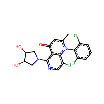 Cc1cc(=O)c2c(N3C[C@@H](O)[C@@H](O)C3)ncc(Cl)c2n1-c1c(Cl)cccc1Cl